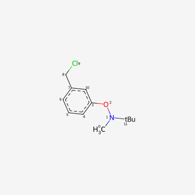 CN(Oc1cccc(CCl)c1)C(C)(C)C